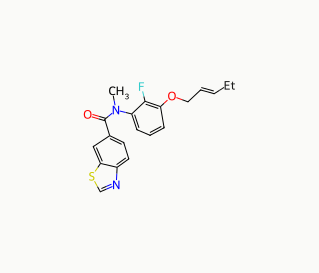 CCC=CCOc1cccc(N(C)C(=O)c2ccc3ncsc3c2)c1F